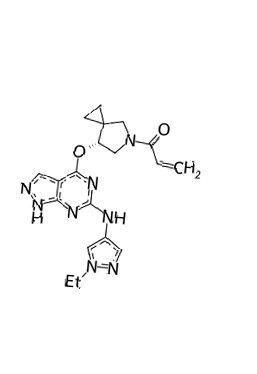 C=CC(=O)N1C[C@H](Oc2nc(Nc3cnn(CC)c3)nc3[nH]ncc23)C2(CC2)C1